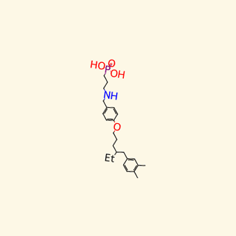 CCC(CCCOc1ccc(CNCCCP(=O)(O)O)cc1)Cc1ccc(C)c(C)c1